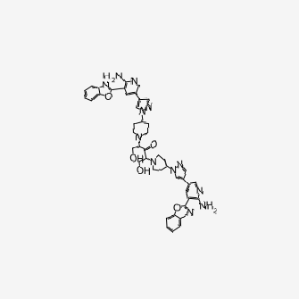 Nc1ncc(-c2cnn(C3CCN(C(CO)C(=O)C(CO)N4CCC(n5cc(-c6cnc(N)c(-c7nc8ccccc8o7)c6)cn5)CC4)CC3)c2)cc1-c1nc2ccccc2o1